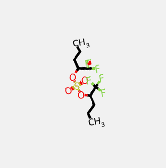 CCCC(OS(=O)(=O)OC(CCC)C(F)(F)F)C(F)(F)F